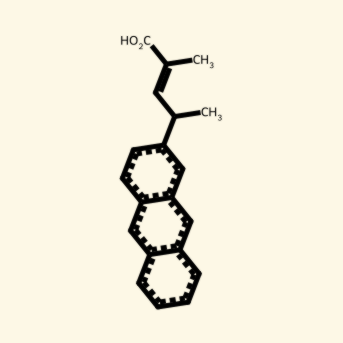 CC(=CC(C)c1ccc2cc3ccccc3cc2c1)C(=O)O